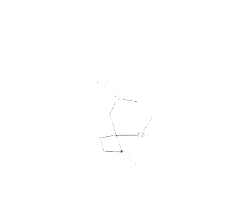 CN1CCNC2(CCC2=O)C1